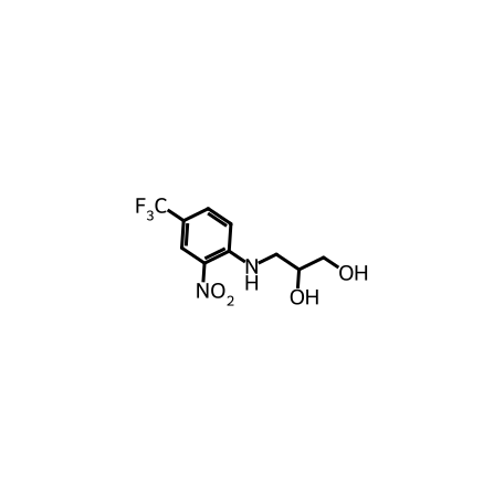 O=[N+]([O-])c1cc(C(F)(F)F)ccc1NCC(O)CO